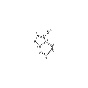 [S]C1=CCc2ccccc21